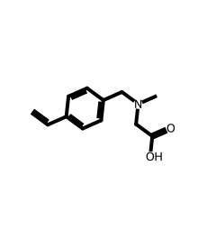 C=Cc1ccc(CN(C)CC(=O)O)cc1